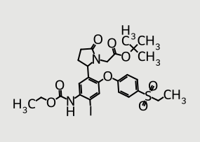 CCOC(=O)Nc1cc(C2CCC(=O)N2CC(=O)OC(C)(C)C)c(Oc2ccc(S(=O)(=O)CC)cc2)cc1I